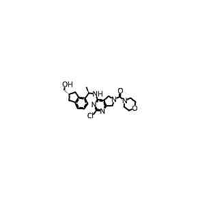 C[C@@H](Nc1nc(Cl)nc2c1CN(C(=O)N1CCOCC1)C2)c1cccc2c1C[C@@H](CO)C2